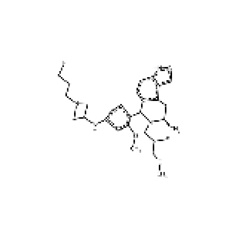 COCC(F)CN1C(c2ccc(NC3CN(CCCF)C3)cc2OC)c2ccc3[nH]ncc3c2C[C@H]1C